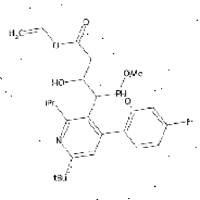 C=COC(=O)CC(O)C(c1c(-c2ccc(F)cc2)cc(C(C)(C)C)nc1C(C)C)[PH](=O)OC